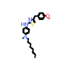 CCCCCCCCN(C)c1ccc(Nc2nc(Cc3ccc(OC)cc3)cs2)cc1